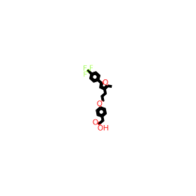 Cc1oc(-c2ccc(C(F)(F)F)cc2)cc1CCCOc1ccc(CC(=O)O)cc1